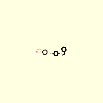 CC(C)(C)S(=O)(=O)N[C@H]1CC[C@H](CNc2ccc(-n3ccc4ccccc43)cc2)CC1